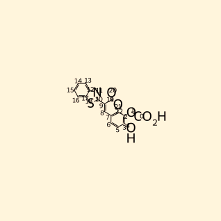 O=C(O)Oc1c(O)ccc2cc(-c3nc4ccccc4s3)c(=O)oc12